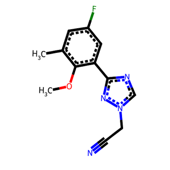 COc1c(C)cc(F)cc1-c1ncn(CC#N)n1